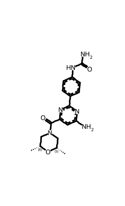 C[C@@H]1CN(C(=O)c2cc(N)nc(-c3ccc(NC(N)=O)cc3)n2)C[C@H](C)O1